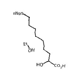 CCCCCCCCCCCCCCCCC(O)C(=O)O.CCO